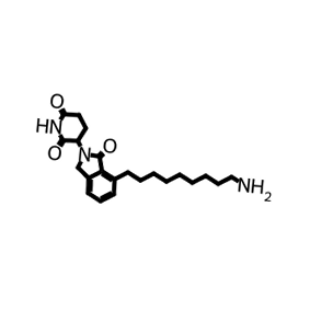 NCCCCCCCCCc1cccc2c1C(=O)N(C1CCC(=O)NC1=O)C2